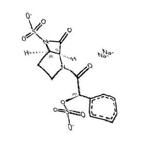 O=C([C@H](OS(=O)(=O)[O-])c1ccccc1)N1CC[C@@H]2[C@H]1C(=O)N2S(=O)(=O)[O-].[Na+].[Na+]